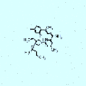 C=CC1=C(/N=C(/C)CCC)CN(C(=O)NC(=C\CC)/C(N)=C\C=C(/C)c2ccc(F)cc2F)C1